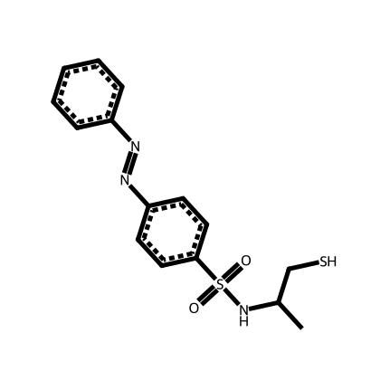 CC(CS)NS(=O)(=O)c1ccc(/N=N/c2ccccc2)cc1